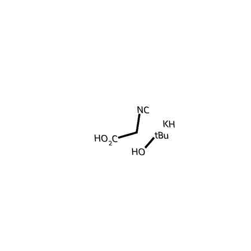 CC(C)(C)O.[C-]#[N+]CC(=O)O.[KH]